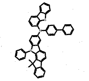 CC1(C)c2ccccc2-c2ccc3c4cc(N(c5ccc(-c6ccccc6)cc5)c5cccc6c5sc5ccccc56)ccc4n(-c4ccccc4)c3c21